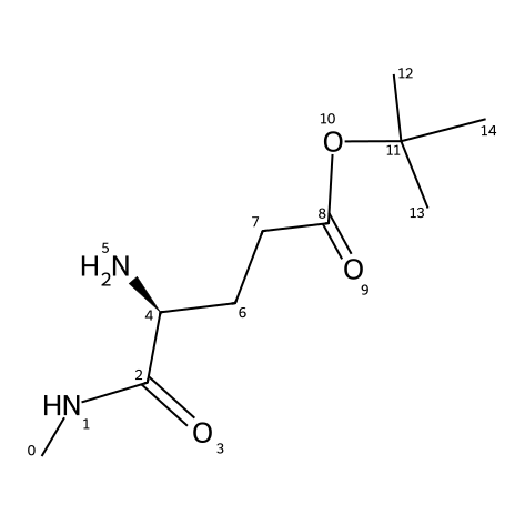 CNC(=O)[C@@H](N)CCC(=O)OC(C)(C)C